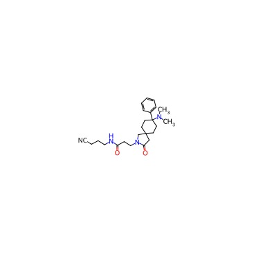 CN(C)C1(c2ccccc2)CCC2(CC1)CC(=O)N(CCC(=O)NCCCC#N)C2